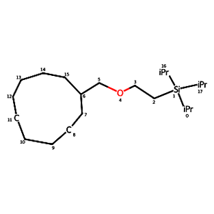 CC(C)[Si](CCOCC1CCCCCCCCC1)(C(C)C)C(C)C